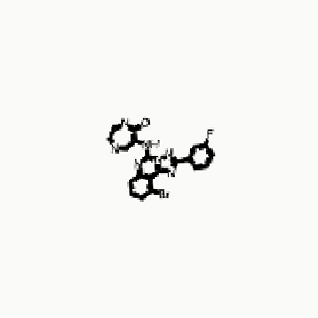 O=c1nccncc1Nc1nc2cccc(Br)c2c2nc(-c3cccc(F)c3)nn12